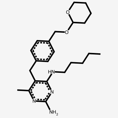 CCCCCNc1nc(N)nc(C)c1Cc1ccc(COC2CCCCO2)cc1